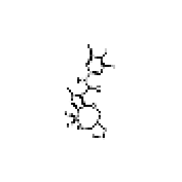 Cn1cc2c(c1C(=O)Nc1cc(F)c(F)c(F)c1)OCC1CCCC1NS2(=O)=O